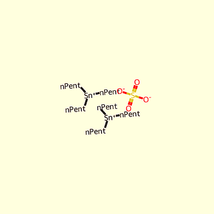 CCCC[CH2][Sn+]([CH2]CCCC)[CH2]CCCC.CCCC[CH2][Sn+]([CH2]CCCC)[CH2]CCCC.O=S(=O)([O-])[O-]